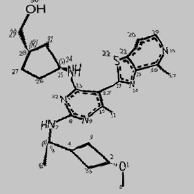 CO[C@H]1C[C@H]([C@@H](C)Nc2nc(C)c(-c3nc4c(C)nccc4s3)c(N[C@H]3CC[C@@H](CO)C3)n2)C1